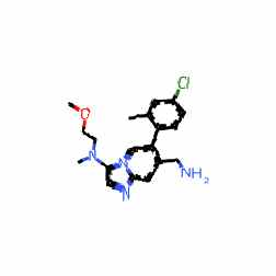 COCCN(C)c1cnc2cc(CN)c(-c3ccc(Cl)cc3C)cn12